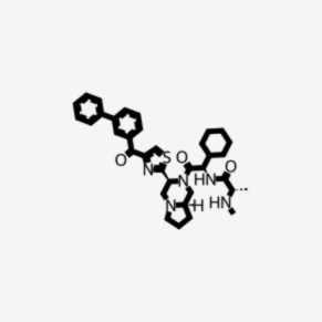 CN[C@@H](C)C(=O)N[C@H](C(=O)N1C[C@H]2CCCN2C[C@H]1c1nc(C(=O)c2cccc(-c3ccccc3)c2)cs1)C1CCCCC1